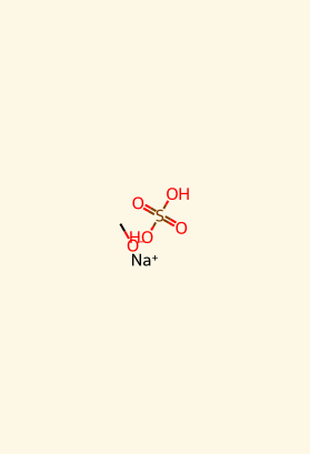 C[O-].O=S(=O)(O)O.[Na+]